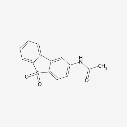 CC(=O)Nc1ccc2c(c1)-c1ccccc1S2(=O)=O